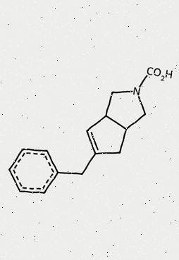 O=C(O)N1CC2C=C(Cc3ccccc3)CC2C1